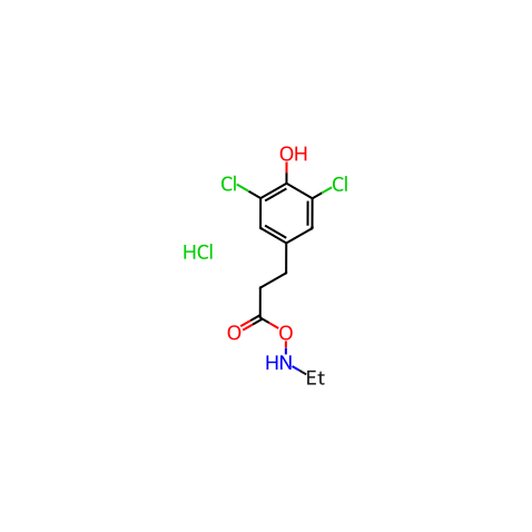 CCNOC(=O)CCc1cc(Cl)c(O)c(Cl)c1.Cl